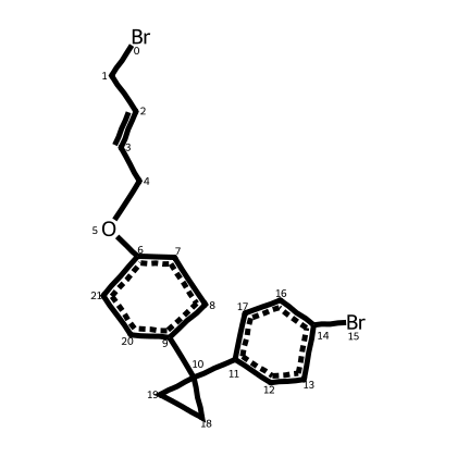 BrCC=CCOc1ccc(C2(c3ccc(Br)cc3)CC2)cc1